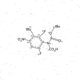 CC(C)(C)OC(=O)N(C(=O)O)c1c(F)cc([N+](=O)[O-])c(C(C)(C)C)c1F